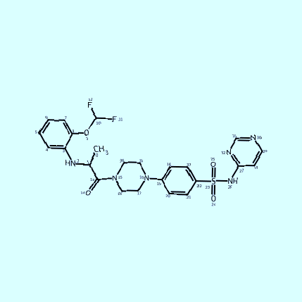 CC(Nc1ccccc1OC(F)F)C(=O)N1CCN(c2ccc(S(=O)(=O)Nc3ccncn3)cc2)CC1